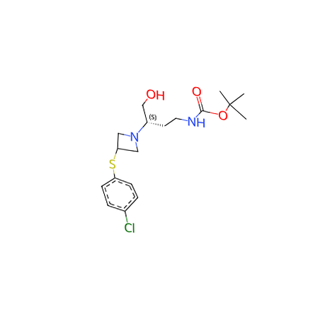 CC(C)(C)OC(=O)NCC[C@@H](CO)N1CC(Sc2ccc(Cl)cc2)C1